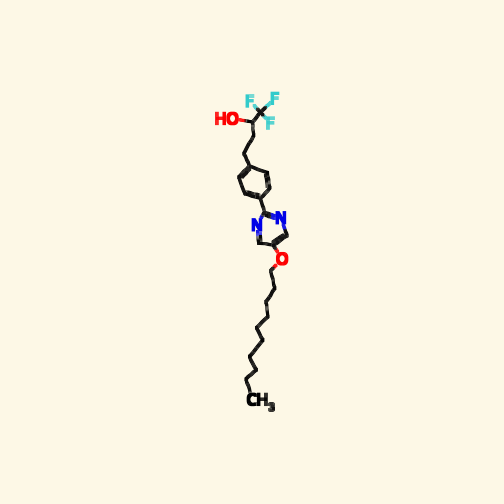 CCCCCCCCCCOc1cnc(-c2ccc(CCC(O)C(F)(F)F)cc2)nc1